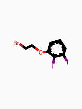 BrCCOc1cccc(I)c1I